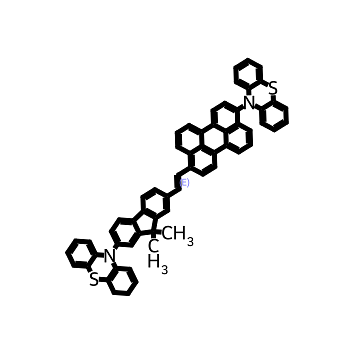 CC1(C)c2cc(/C=C/c3ccc4c5cccc6c(N7c8ccccc8Sc8ccccc87)ccc(c7cccc3c47)c65)ccc2-c2ccc(N3C4=C(CCC=C4)Sc4ccccc43)cc21